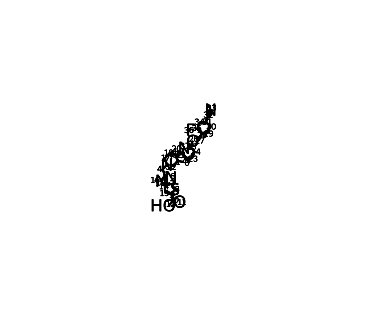 CC1CN(Cc2nc3sc(C(=O)O)cc3n2C)CC[C@]1(C)c1cccc(OCc2ccc(C#N)cc2F)n1